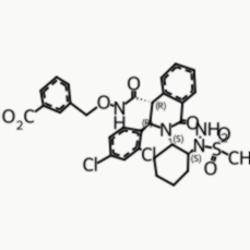 CS(=O)(=O)N(N)[C@H]1CCCC[C@@H]1N1C(=O)c2ccccc2[C@@H](C(=O)NOCc2cccc(C(=O)O)c2)[C@@H]1c1ccc(Cl)cc1Cl